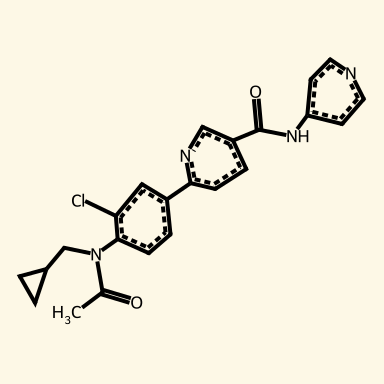 CC(=O)N(CC1CC1)c1ccc(-c2ccc(C(=O)Nc3ccncc3)cn2)cc1Cl